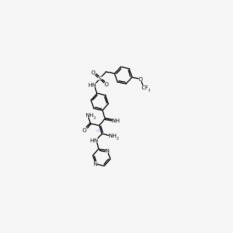 N=C(/C(C(N)=O)=C(\N)Nc1cnccn1)c1ccc(NS(=O)(=O)Cc2ccc(OC(F)(F)F)cc2)cc1